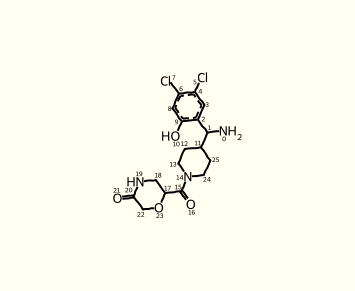 NC(c1cc(Cl)c(Cl)cc1O)C1CCN(C(=O)C2CNC(=O)CO2)CC1